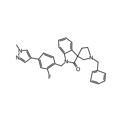 Cn1cc(-c2ccc(CN3C(=O)C4(CCN(Cc5ccccc5)C4)c4ccccc43)c(F)c2)cn1